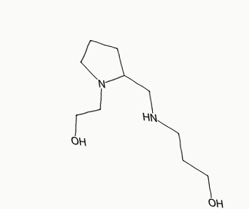 OCCCNCC1CCCN1CCO